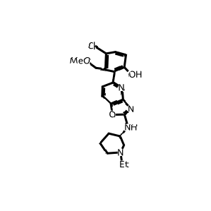 CCN1CCC[C@@H](Nc2nc3nc(-c4c(O)ccc(Cl)c4COC)ccc3o2)C1